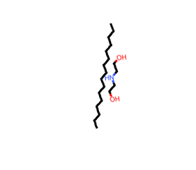 CCCCCCCCCCCCCCCC.OCCNCCO